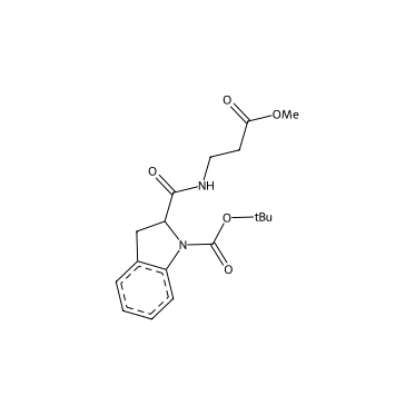 COC(=O)CCNC(=O)C1Cc2ccccc2N1C(=O)OC(C)(C)C